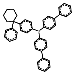 c1ccc(-c2ccc(N(c3ccc(-c4ccccc4)cc3)c3ccc(C4(c5ccccc5)CCCCC4)cc3)cc2)cc1